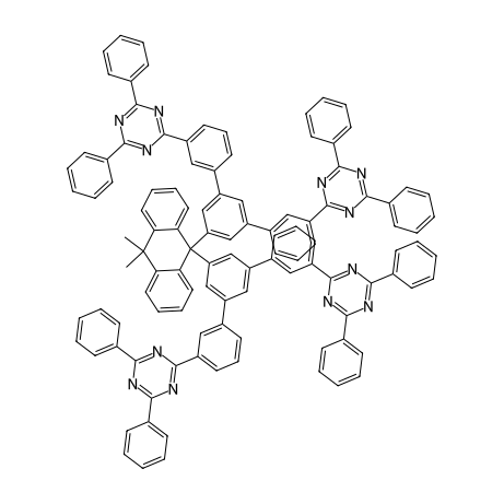 CC1(C)c2ccccc2C(c2cc(-c3cccc(-c4nc(-c5ccccc5)nc(-c5ccccc5)n4)c3)cc(-c3cccc(-c4nc(-c5ccccc5)nc(-c5ccccc5)n4)c3)c2)(c2cc(-c3cccc(-c4nc(-c5ccccc5)nc(-c5ccccc5)n4)c3)cc(-c3cccc(-c4nc(-c5ccccc5)nc(-c5ccccc5)n4)c3)c2)c2ccccc21